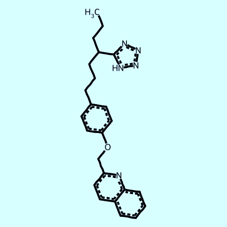 CCCC(CCCc1ccc(OCc2ccc3ccccc3n2)cc1)c1nnn[nH]1